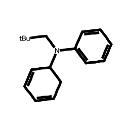 CC(C)(C)CN(c1ccccc1)C1C=CC=CC1